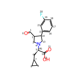 O=CC1CN([C@H](CC2CC2)C(=O)O)CC1c1cccc(F)c1